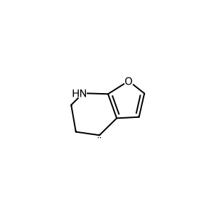 [C]1CCNc2occc21